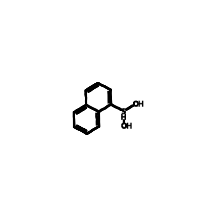 O[SH](O)c1cccc2ccccc12